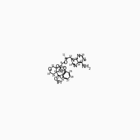 CC(C)OC(=O)C1(NP(=O)(CO[C@H](C)Cn2cnc3c(N)ncnc32)Oc2ccccc2)CCOCC1